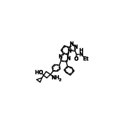 CCNC(=O)c1nnc2ccc3nc(-c4ccc(C5(N)CC(O)(C6CC6)C5)cc4)c(-c4ccccc4)nc3n12